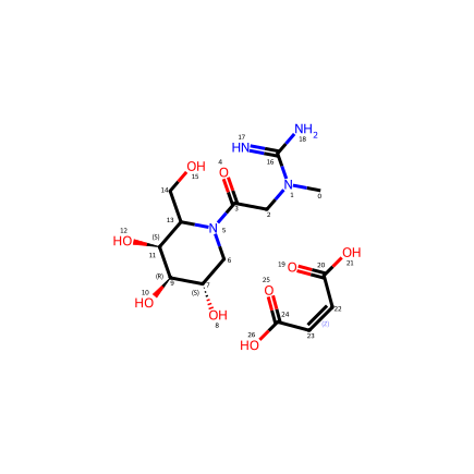 CN(CC(=O)N1C[C@H](O)[C@@H](O)[C@@H](O)C1CO)C(=N)N.O=C(O)/C=C\C(=O)O